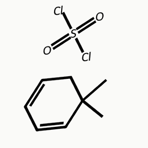 CC1(C)C=CC=CC1.O=S(=O)(Cl)Cl